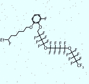 CCC(F)CCCCCOc1cc[c]c(F)c1OCC(F)(F)C(F)(F)C(F)(F)OC(F)(F)C(F)(F)C(F)(F)C(F)(F)OC(F)(F)C(F)(F)C(F)(F)C(F)(F)F